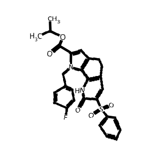 CC(C)OC(=O)c1cc2c(n1Cc1ccc(F)cc1)-c1[nH]c(=O)c(S(=O)(=O)c3ccccc3)cc1CC2